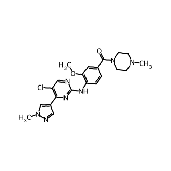 COc1cc(C(=O)N2CCN(C)CC2)ccc1Nc1ncc(Cl)c(-c2cnn(C)c2)n1